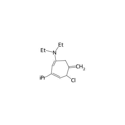 C=C1CC(N(CC)CC)=CC(C(C)C)=CC1Cl